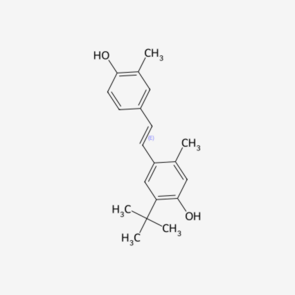 Cc1cc(/C=C/c2cc(C(C)(C)C)c(O)cc2C)ccc1O